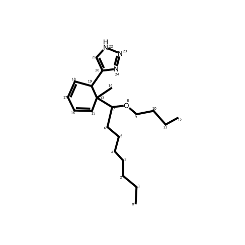 CCCCCCCC(OCCCC)C1(C)C=CC=CC1c1c[nH]nn1